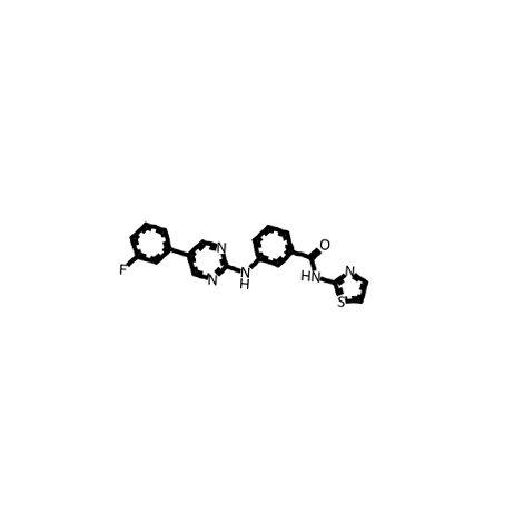 O=C(Nc1nccs1)c1cccc(Nc2ncc(-c3cccc(F)c3)cn2)c1